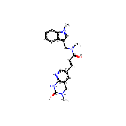 CN(Cc1cn(C)c2ccccc12)C(=O)/C=C/c1cnc2c(c1)CN(C)C(=O)N2